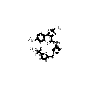 COc1ccc(-c2oc(C)nc2C(=O)Nc2cnn(Cc3ccc(C(C)(F)F)o3)c2)cc1